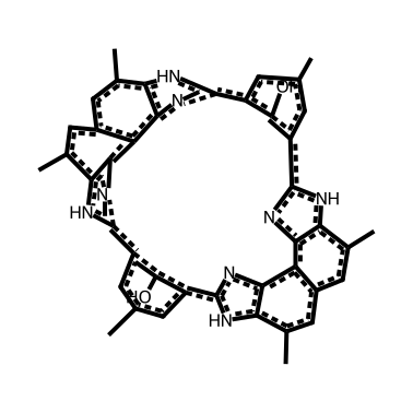 Cc1cc2c(O)c(c1)c1nc3c([nH]1)c(C)cc1cc(C)c4[nH]c(nc4c13)c1cc(C)cc(c1O)c1nc3c([nH]1)c(C)cc1cc(C)c4[nH]c2nc4c13